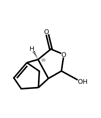 O=C1OC(O)C2C3CC=C(C3)[C@@H]12